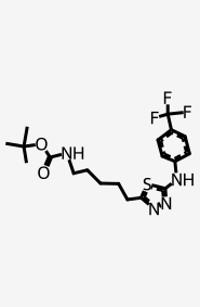 CC(C)(C)OC(=O)NCCCCCc1nnc(Nc2ccc(C(F)(F)F)cc2)s1